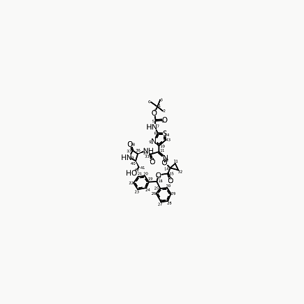 CC(C)(C)OC(=O)Nc1nc(/C(=N/OC2(C(=O)OC(c3ccccc3)c3ccccc3)CC2)C(=O)N[C@@H]2C(=O)N[C@@H]2CO)cs1